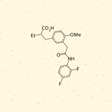 CCC(Cc1ccc(OC)c(CC(=O)Nc2ccc(F)cc2F)c1)C(=O)O